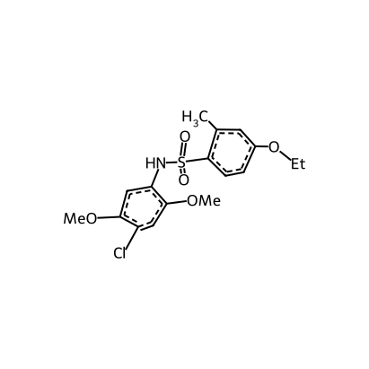 CCOc1ccc(S(=O)(=O)Nc2cc(OC)c(Cl)cc2OC)c(C)c1